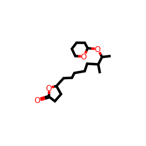 CC(CCCCCC1CCC(=O)O1)C(C)OC1CCCCO1